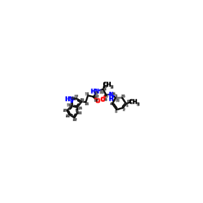 CC1=C[C]=C[C@@H](NC(=O)[C@H](C)NC(=O)CCc2c[nH]c3ccccc23)C1